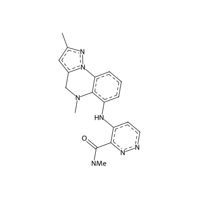 CNC(=O)c1nnccc1Nc1cccc2c1N(C)Cc1cc(C)nn1-2